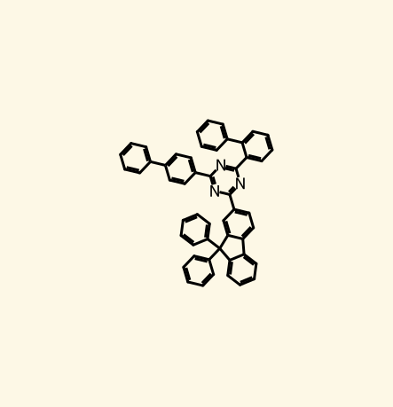 c1ccc(-c2ccc(-c3nc(-c4ccc5c(c4)C(c4ccccc4)(c4ccccc4)c4ccccc4-5)nc(-c4ccccc4-c4ccccc4)n3)cc2)cc1